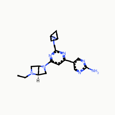 CCN1CC2[C@H]1CN2c1cc(-c2cnc(N)nc2)nc(N2CC3CC2C3)n1